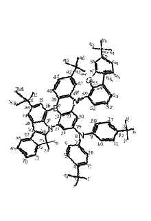 CC(C)(C)c1ccc(N(c2ccc(C(C)(C)C)cc2)c2cc3c4c(c2)-n2c5c(c6cc(C(C)(C)C)cc(c62)B4c2ccc(C(C)(C)C)cc2N3c2cccc3c2oc2cc(C(C)(C)C)ccc23)-c2ccccc2C5(C)C)cc1